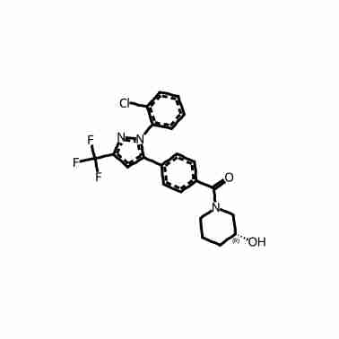 O=C(c1ccc(-c2cc(C(F)(F)F)nn2-c2ccccc2Cl)cc1)N1CCC[C@@H](O)C1